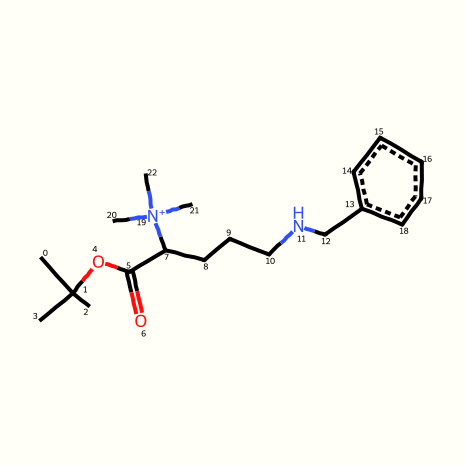 CC(C)(C)OC(=O)C(CCCNCc1ccccc1)[N+](C)(C)C